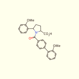 COc1ccccc1-c1ccc(C(=O)N2C(C(=O)O)CCC2c2ccccc2OC)cc1